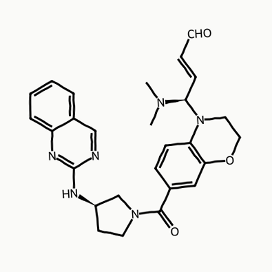 CN(C)[C@@H](/C=C/C=O)N1CCOc2cc(C(=O)N3CC[C@@H](Nc4ncc5ccccc5n4)C3)ccc21